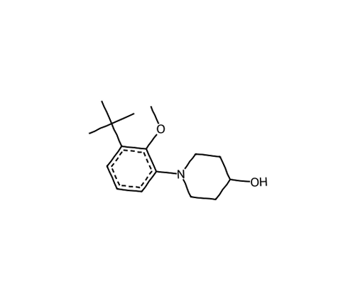 COc1c(N2CCC(O)CC2)cccc1C(C)(C)C